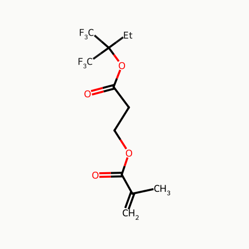 C=C(C)C(=O)OCCC(=O)OC(CC)(C(F)(F)F)C(F)(F)F